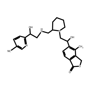 Cc1c(C(O)CN2CCCCC2CNCC(O)c2ccc(C#N)cn2)ccc2c1COC2=O